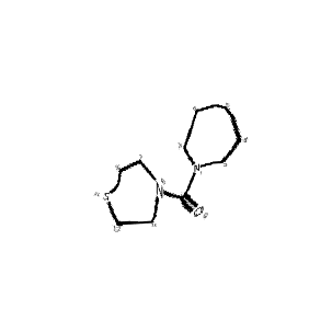 O=C(N1CC[CH]CC1)N1CCSCC1